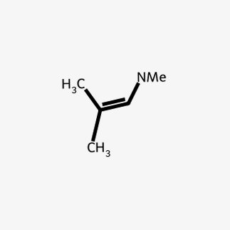 CNC=C(C)C